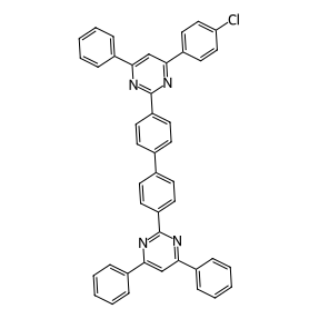 Clc1ccc(-c2cc(-c3ccccc3)nc(-c3ccc(-c4ccc(-c5nc(-c6ccccc6)cc(-c6ccccc6)n5)cc4)cc3)n2)cc1